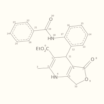 CCOC(=O)C1=C(C)NC2=C(C(=O)OC2)C1c1ccccc1NC(=O)c1ccccc1